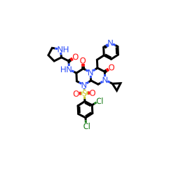 O=C(NC1CN(S(=O)(=O)c2ccc(Cl)cc2Cl)C2CN(C3CC3)C(=O)C(Cc3cccnc3)N2C1=O)C1CCCN1